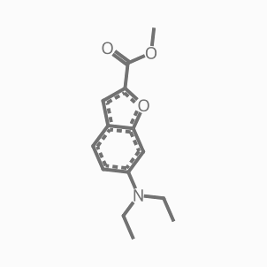 CCN(CC)c1ccc2cc(C(=O)OC)oc2c1